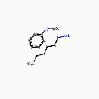 NCCCCCC(=O)O.O=[N+]([O-])Nc1ccccc1